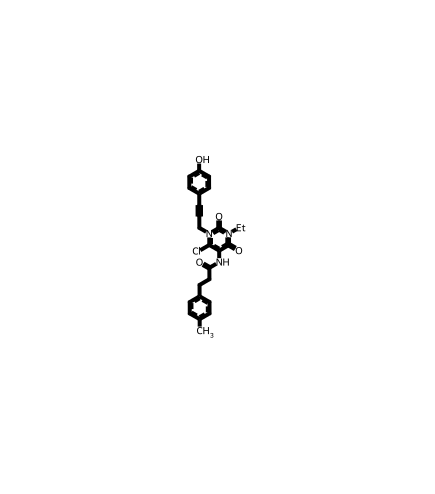 CCn1c(=O)c(NC(=O)CCc2ccc(C)cc2)c(Cl)n(CC#Cc2ccc(O)cc2)c1=O